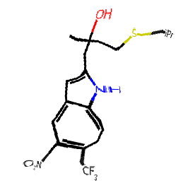 CC(C)SCC(C)(O)c1cc2cc([N+](=O)[O-])c(C(F)(F)F)cc2[nH]1